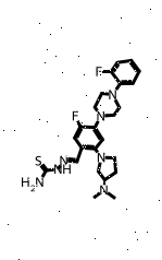 CN(C)[C@@H]1CCN(c2cc(N3CCN(c4ccccc4F)CC3)c(F)cc2C=NNC(N)=S)C1